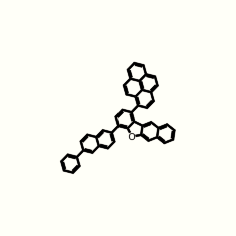 c1ccc(-c2ccc3cc(-c4ccc(-c5ccc6ccc7cccc8ccc5c6c78)c5c4oc4cc6ccccc6cc45)ccc3c2)cc1